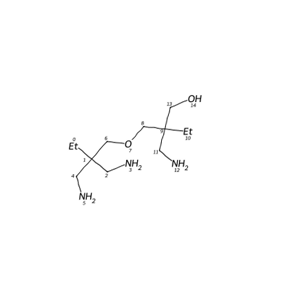 CCC(CN)(CN)COCC(CC)(CN)CO